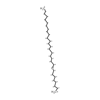 CCCCCCCCCCCCCCCCCCC[CH]OCCCCCCCC